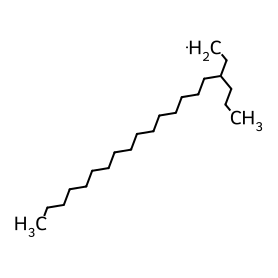 [CH2]CC(CCC)CCCCCCCCCCCCCCCC